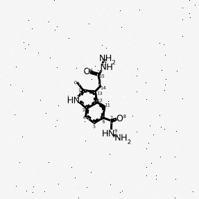 Cc1[nH]c2ccc(C(=O)NN)cc2c1CC(=O)NN